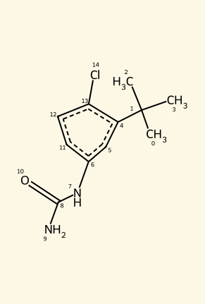 CC(C)(C)c1cc(NC(N)=O)ccc1Cl